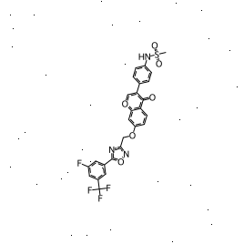 CS(=O)(=O)Nc1ccc(-c2coc3cc(OCc4noc(-c5cc(F)cc(C(F)(F)F)c5)n4)ccc3c2=O)cc1